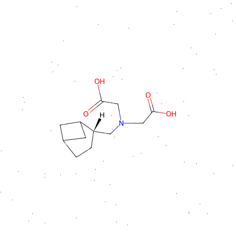 O=C(O)CN(CC(=O)O)C[C@@H]1CCC2CC1C2